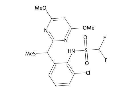 COc1cc(OC)nc(C(SC)c2cccc(Cl)c2NS(=O)(=O)C(F)F)n1